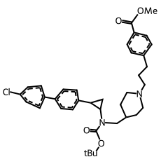 COC(=O)c1ccc(CCCN2CCC(CN(C(=O)OC(C)(C)C)C3CC3c3ccc(-c4ccc(Cl)cc4)cc3)CC2)cc1